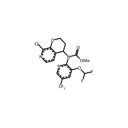 COC(=O)N(c1ncc(C(F)(F)F)cc1OC(F)F)C1CCOc2c1ccnc2Cl